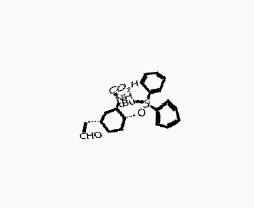 CC(C)(C)[Si](O[C@@H]1CC[C@H](CC=O)C[C@H]1NC(=O)O)(c1ccccc1)c1ccccc1